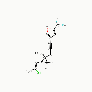 CC1(C)[C@@H](/C=C(\Cl)C(F)(F)F)[C@@]1(CC#Cc1coc(C(F)F)c1)C(=O)O